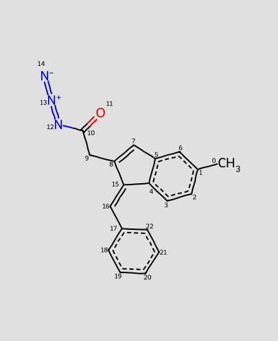 Cc1ccc2c(c1)C=C(CC(=O)N=[N+]=[N-])/C2=C/c1ccccc1